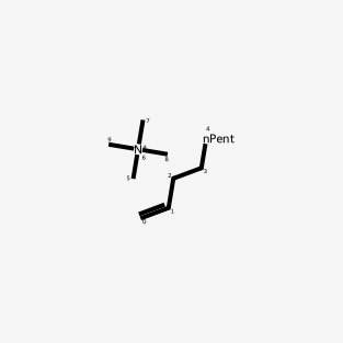 C=CCCCCCCC.C[N+](C)(C)C